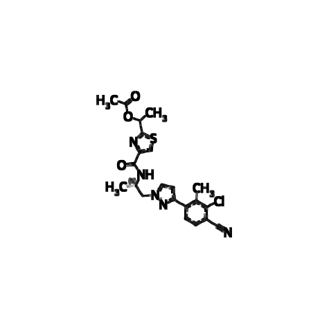 CC(=O)OC(C)c1nc(C(=O)N[C@@H](C)Cn2ccc(-c3ccc(C#N)c(Cl)c3C)n2)cs1